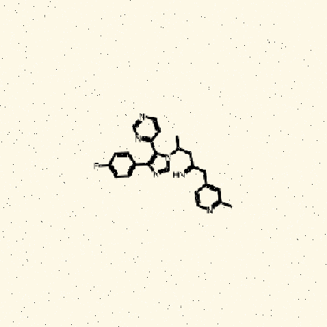 Cc1cc(CC(=N)CC(C)n2cnc(-c3ccc(F)cc3)c2-c2ccncn2)ccn1